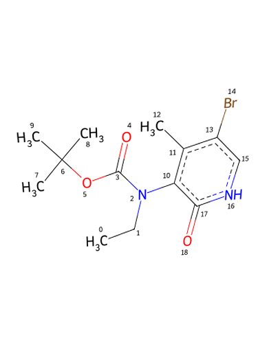 CCN(C(=O)OC(C)(C)C)c1c(C)c(Br)c[nH]c1=O